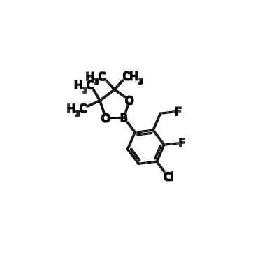 CC1(C)OB(c2ccc(Cl)c(F)c2CF)OC1(C)C